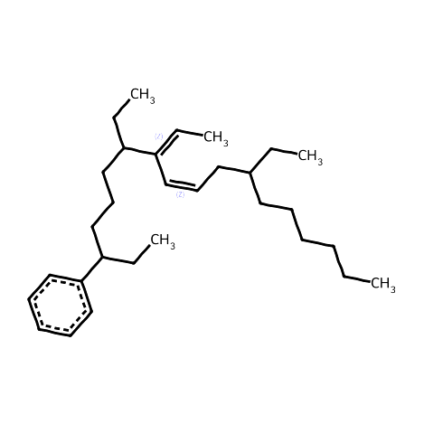 C/C=C(\C=C/CC(CC)CCCCCC)C(CC)CCCC(CC)c1ccccc1